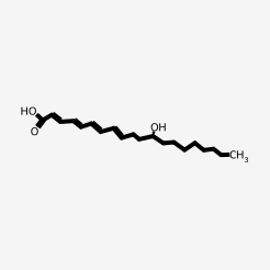 CCCCCCCC[C@H](O)CCC=CC=CC=CC=CC(=O)O